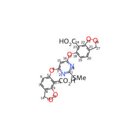 CSc1nc(Oc2ccc3c(c2C(=O)O)OOC3)cc(Oc2ccc3c(c2C(=O)O)OOC3)n1